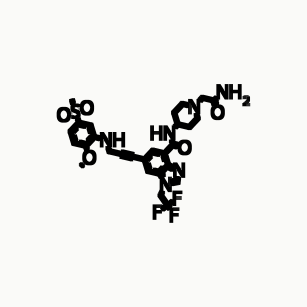 COc1ccc(S(C)(=O)=O)cc1NCC#Cc1cc(C(=O)NC2CCN(CC(N)=O)CC2)c2ncn(CC(F)(F)F)c2c1